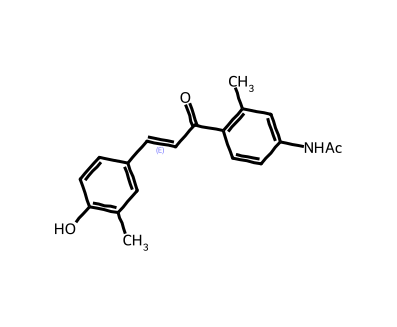 CC(=O)Nc1ccc(C(=O)/C=C/c2ccc(O)c(C)c2)c(C)c1